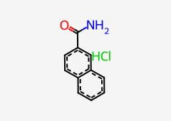 Cl.NC(=O)c1ccc2ccccc2c1